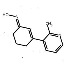 Cc1ncccc1C1=C/C(=N/O)CCC1